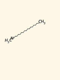 CCCCCCCCCCCCCCCCCC=NC